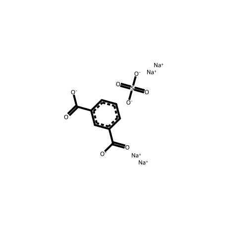 O=C([O-])c1cccc(C(=O)[O-])c1.O=S(=O)([O-])[O-].[Na+].[Na+].[Na+].[Na+]